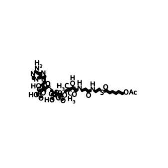 CC(=O)OCCCCCC(=O)SCCNC(=O)CCNC(=O)[C@H](O)C(C)(C)COP(=O)(O)OP(=O)(O)OC[C@H]1O[C@@H](n2cnc3c(N)ncnc32)[C@H](O)[C@@H]1OP(=O)(O)O